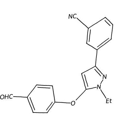 CCn1nc(-c2cccc(C#N)c2)cc1Oc1ccc(C=O)cc1